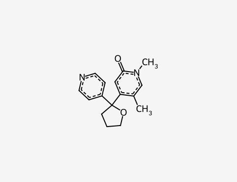 Cc1cn(C)c(=O)cc1C1(c2ccncc2)CCCO1